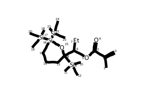 C=C(C)C(=O)OC(CC)C1([Si](C)(C)C)CCC[Si]([Si](C)(C)C)([Si](C)(C)C)O1